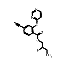 CCC(F)COC(=O)c1ccc(C#N)cc1Oc1ccncn1